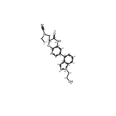 N#CN1CC[C@@]2(C1)Oc1ncc(-c3cccc4c3cnn4CCO)cc1NC2=O